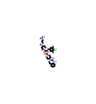 CCN(C)CCCN(C)C1CCN(C(=O)[C@@H](Cc2cc(C)c(Cl)c(C)c2)OC(=O)N2CCC(N3CCc4ccccc4NC3=O)CC2)CC1